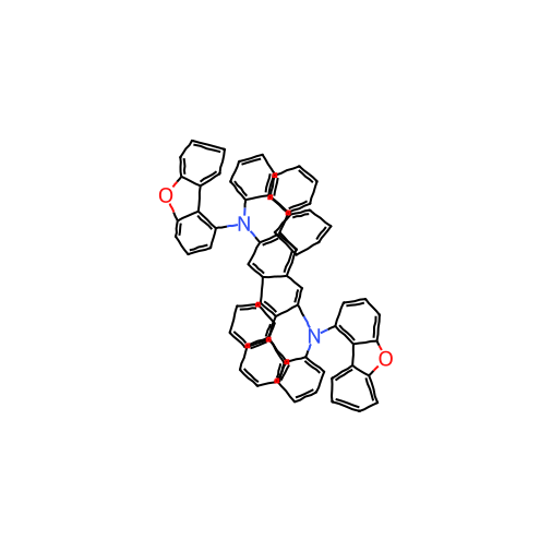 c1ccc(-c2ccccc2N(c2cc3cc(-c4ccccc4)c(N(c4ccccc4-c4ccccc4)c4cccc5oc6ccccc6c45)cc3cc2-c2ccccc2)c2cccc3oc4ccccc4c23)cc1